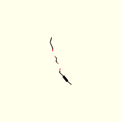 CC#CCOCCOCCC